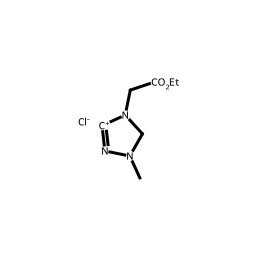 CCOC(=O)CN1[C+]=NN(C)C1.[Cl-]